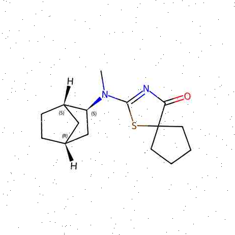 CN(C1=NC(=O)C2(CCCC2)S1)[C@H]1C[C@@H]2CC[C@H]1C2